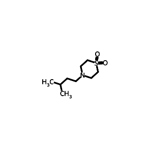 CC(C)CCN1CCS(=O)(=O)CC1